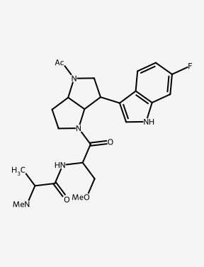 CNC(C)C(=O)NC(COC)C(=O)N1CCC2C1C(c1c[nH]c3cc(F)ccc13)CN2C(C)=O